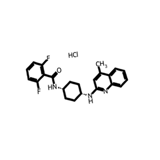 Cc1cc(N[C@H]2CC[C@@H](NC(=O)c3c(F)cccc3F)CC2)nc2ccccc12.Cl